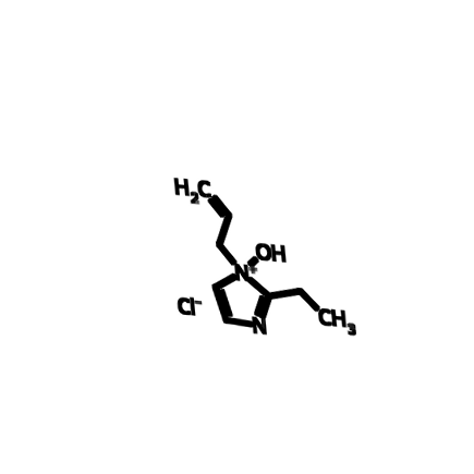 C=CC[N+]1(O)C=CN=C1CC.[Cl-]